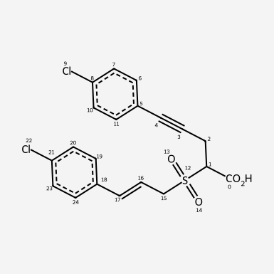 O=C(O)C(CC#Cc1ccc(Cl)cc1)S(=O)(=O)C/C=C/c1ccc(Cl)cc1